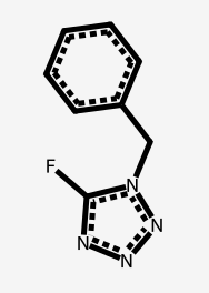 Fc1nnnn1Cc1ccccc1